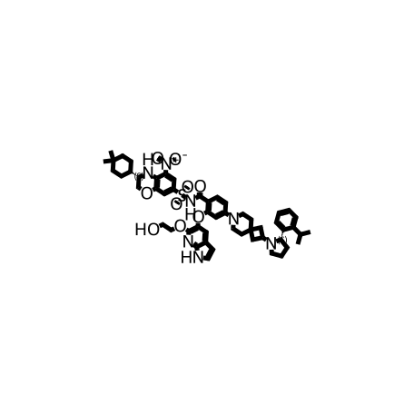 CC(C)c1ccccc1[C@@H]1CCCN1C1CC2(CCN(c3ccc(C(=O)NS(=O)(=O)c4cc5c(c([N+](=O)[O-])c4)N[C@@H](C4CCC(C)(C)CC4)CO5)c(Oc4cc5cc[nH]c5nc4OCCO)c3)CC2)C1